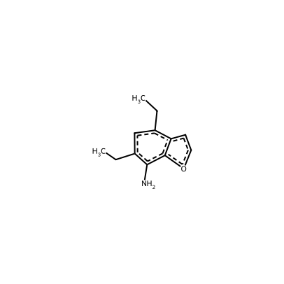 CCc1cc(CC)c2ccoc2c1N